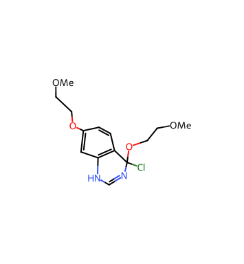 COCCOc1ccc2c(c1)NC=NC2(Cl)OCCOC